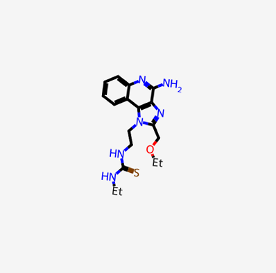 CCNC(=S)NCCn1c(COCC)nc2c(N)nc3ccccc3c21